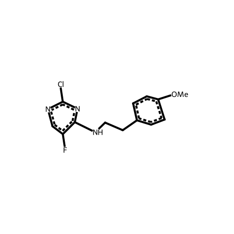 COc1ccc(CCNc2nc(Cl)ncc2F)cc1